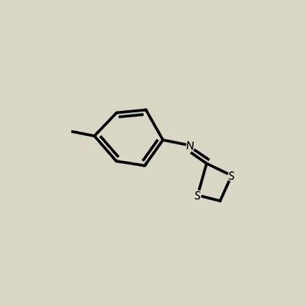 Cc1ccc(N=C2SCS2)cc1